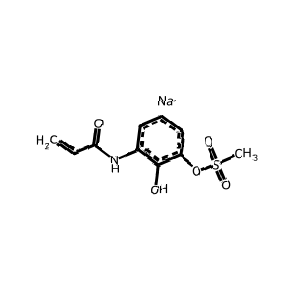 C=CC(=O)Nc1cccc(OS(C)(=O)=O)c1O.[Na]